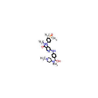 CN1CCC(N(C)C(O)c2ccc(Nc3cc4c(cn3)c(=O)n(C)n4-c3ccc(P(C)(C)=O)cc3)cc2)CC1